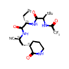 CC(C)C[C@H](NC(=O)C(NC(=O)C(F)(F)F)C(C)(C)C)C(=O)N[C@H](C#N)C[C@@H]1CCCNC1=O